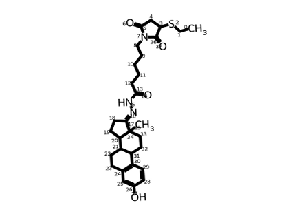 CCSC1CC(=O)N(CCCCCC(=O)N/N=C2\CCC3C4CCc5cc(O)ccc5C4CCC23C)C1=O